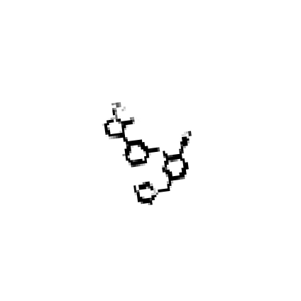 CN1CCC(c2cccc(Oc3cc(Cn4ccnc4)ccc3C#N)c2)C1=O